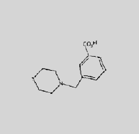 O=C(O)c1cccc(CN2CCSCC2)c1